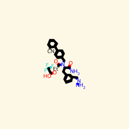 CCC(=O)N(Cc1ccc(-c2ccccc2C#N)cc1)C(Cc1cccc(/C=N\N)c1)C(N)=O.O=C(O)C(F)(F)F